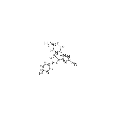 N#Cc1n[nH]c(C2CC(c3ccc(F)cc3)CC2N2CCCC(N)C2)n1